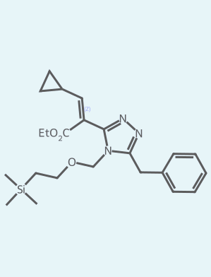 CCOC(=O)/C(=C\C1CC1)c1nnc(Cc2ccccc2)n1COCC[Si](C)(C)C